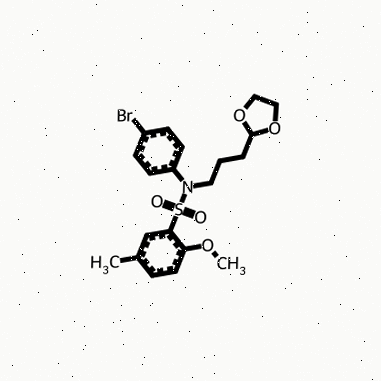 COc1ccc(C)cc1S(=O)(=O)N(CCCC1OCCO1)c1ccc(Br)cc1